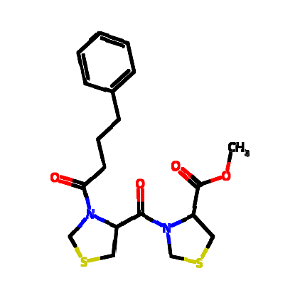 COC(=O)C1CSCN1C(=O)C1CSCN1C(=O)CCCc1ccccc1